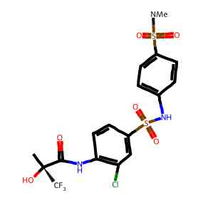 CNS(=O)(=O)c1ccc(NS(=O)(=O)c2ccc(NC(=O)[C@@](C)(O)C(F)(F)F)c(Cl)c2)cc1